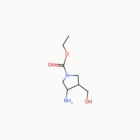 CCOC(=O)N1CC(N)C(CO)C1